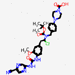 COc1cc(CC(Cl)N(Cc2ccc(N3CCN(C(=O)O)CC3)cc2)C(=O)OC(C)(C)C)ccc1NC(=O)Nc1cnc(C#N)cn1